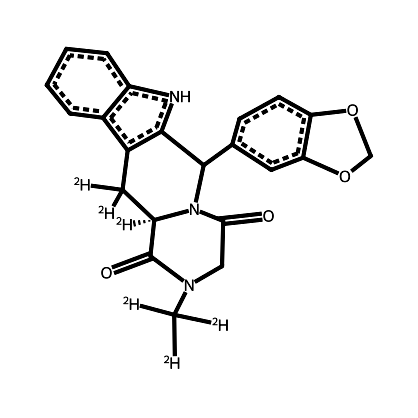 [2H]C([2H])([2H])N1CC(=O)N2C(c3ccc4c(c3)OCO4)c3[nH]c4ccccc4c3C([2H])([2H])[C@]2([2H])C1=O